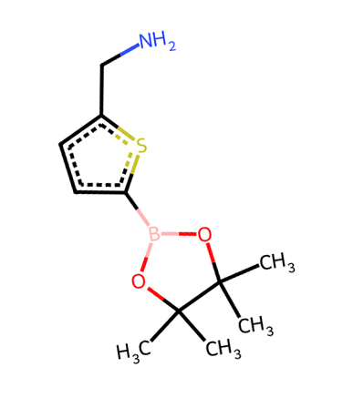 CC1(C)OB(c2ccc(CN)s2)OC1(C)C